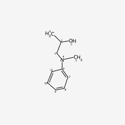 CC(O)CN(C)c1ccccc1